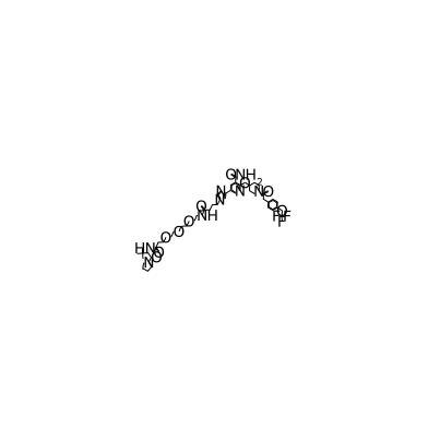 CC(C)(C)[C@H](NC(=O)CCOCCOCCOCCNC(=O)CCCn1cnc(-c2cnc(OC3CCN(C(=O)Cc4ccc(OC(F)(F)F)cc4)CC3)c(C(N)=O)c2)c1)C(=O)N1CCCC1